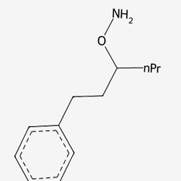 CCCC(CCc1ccccc1)ON